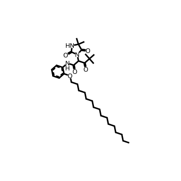 CCCCCCCCCCCCCCCCOc1ccccc1NC(=O)C(C(=O)C(C)(C)C)N1C(=O)NC(C)(C)C1=O